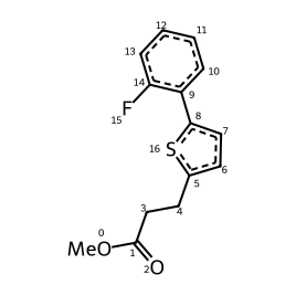 COC(=O)CCc1ccc(-c2ccccc2F)s1